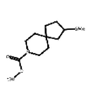 CSC1CCC2(CCN(C(=O)OC(C)(C)C)CC2)C1